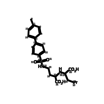 Cc1ccc(-c2ccc(S(=O)(=O)NCCC(NC(CC(C)C)C(=O)O)C(=O)O)cc2)cc1